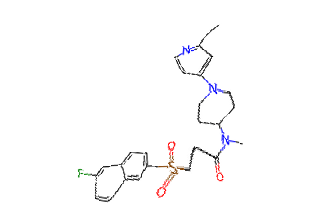 Cc1cc(N2CCC(N(C)C(=O)CCS(=O)(=O)c3ccc4cc(F)ccc4c3)CC2)ccn1